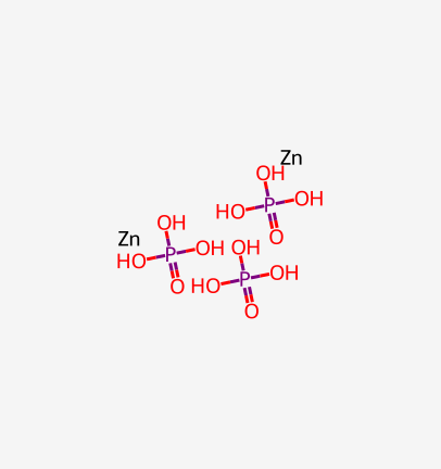 O=P(O)(O)O.O=P(O)(O)O.O=P(O)(O)O.[Zn].[Zn]